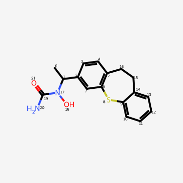 CC(c1ccc2c(c1)Sc1ccccc1CC2)N(O)C(N)=O